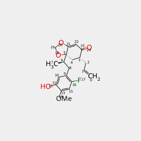 C=CC[C@@H]1C[C@]2([C@H](C)Cc3cc(O)c(OC)cc3F)OCOC2=CC1=O